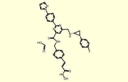 O=C(/C=C/c1ccc(CNC(=O)c2cc(CN[C@@H]3C[C@H]3c3ccc(F)cc3)nc(-c3ccc(-n4cccn4)cc3)n2)cc1)NO.O=CO